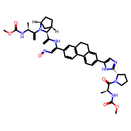 C=C(N/C(=C\N=O)c1ccc2c(c1)CCc1cc(-c3cnc([C@@H]4CCCN4C(=O)[C@H](C)NC(=O)OC)[nH]3)ccc1-2)[C@@H]1[C@H]2CC[C@H](C2)N1C(=C)[C@H](C)NC(=O)OC